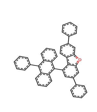 c1ccc(-c2ccc3c(c2)oc2cc(-c4ccccc4)cc(-c4c5ccccc5c(-c5ccccc5)c5ccccc45)c23)cc1